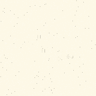 CCC(C)C(=O)OC1CCC2(C)C(=CCC3[C@@H]4CCC(=O)C4(C)CC[C@@H]32)C1